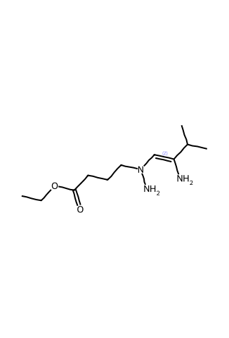 CCOC(=O)CCCN(N)/C=C(\N)C(C)C